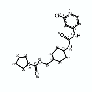 O=C(Nc1ccnc(Cl)c1)OC1CCC(COC(=O)N2CCCC2)CC1